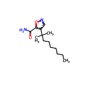 CCCCCCCC(C)(C)c1cnoc1C(N)=O